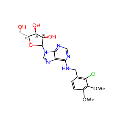 COc1ccc(CNc2ncnc3c2ncn3C2O[C@H](CO)[C@@H](O)[C@H]2O)c(Cl)c1OC